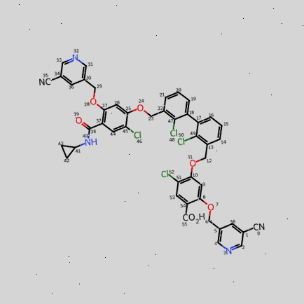 N#Cc1cncc(COc2cc(OCc3cccc(-c4cccc(COc5cc(OCc6cncc(C#N)c6)c(C(=O)NC6CC6)cc5Cl)c4Cl)c3Cl)c(Cl)cc2C(=O)O)c1